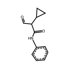 O=CC(C(=O)Nc1ccccc1)C1CC1